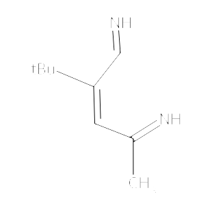 CC(=N)/C=C(\C=N)C(C)(C)C